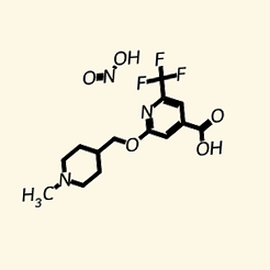 CN1CCC(COc2cc(C(=O)O)cc(C(F)(F)F)n2)CC1.O=NO